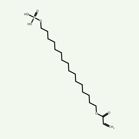 C=CC(=O)OCCCCCCCCCCCCCCCCOP(=O)(O)O